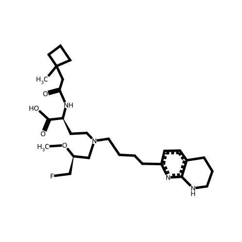 CO[C@H](CF)CN(CCCCc1ccc2c(n1)NCCC2)CC[C@H](NC(=O)CC1(C)CCC1)C(=O)O